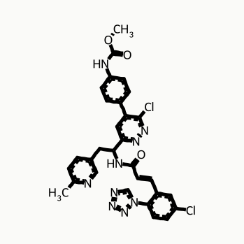 COC(=O)Nc1ccc(-c2cc(C(Cc3ccc(C)nc3)NC(=O)C=Cc3cc(Cl)ccc3-n3cnnn3)nnc2Cl)cc1